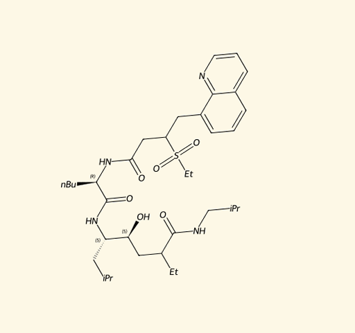 CCCC[C@@H](NC(=O)CC(Cc1cccc2cccnc12)S(=O)(=O)CC)C(=O)N[C@@H](CC(C)C)[C@@H](O)CC(CC)C(=O)NCC(C)C